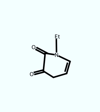 CCN1C=CCC(=O)C1=O